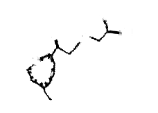 CC(C)COCC(=O)c1cc(Cl)ccn1